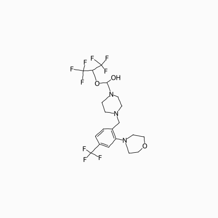 OC(OC(C(F)(F)F)C(F)(F)F)N1CCN(Cc2ccc(C(F)(F)F)cc2N2CCOCC2)CC1